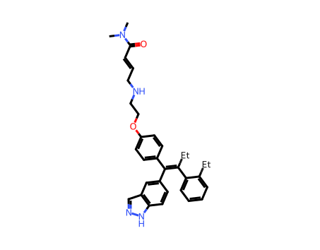 CCC(=C(c1ccc(OCCNCC=CC(=O)N(C)C)cc1)c1ccc2[nH]ncc2c1)c1ccccc1CC